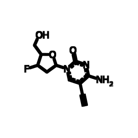 C#Cc1cn(C2CC(F)C(CO)O2)c(=O)nc1N